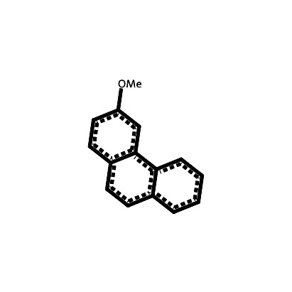 COc1ccc2ccc3ccccc3c2c1